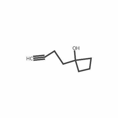 C#CCCC1(O)CCC1